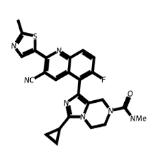 CNC(=O)N1CCn2c(C3CC3)nc(-c3c(F)ccc4nc(-c5cnc(C)s5)c(C#N)cc34)c2C1